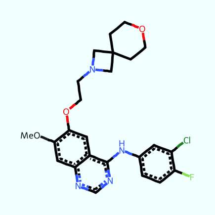 COc1cc2ncnc(Nc3ccc(F)c(Cl)c3)c2cc1OCCN1CC2(CCOCC2)C1